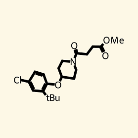 COC(=O)CCC(=O)N1CCC(Oc2ccc(Cl)cc2C(C)(C)C)CC1